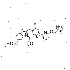 O=C(O)c1ccc2nc(Cc3cc(F)c(-c4cccc(OCc5nccs5)n4)cc3F)n(CC3CCO3)c2c1